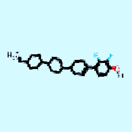 C=CC1CCC(C2CCC(C3CC=C(c4ccc(OCC)c(F)c4F)CC3)CC2)CC1